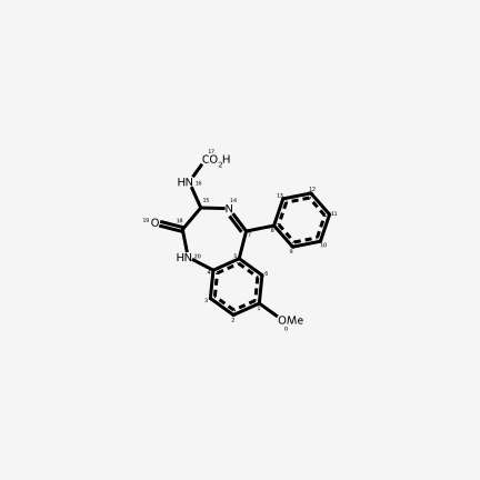 COc1ccc2c(c1)C(c1ccccc1)=NC(NC(=O)O)C(=O)N2